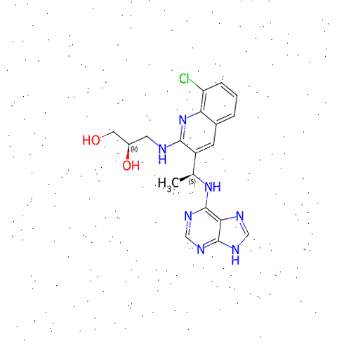 C[C@H](Nc1ncnc2[nH]cnc12)c1cc2cccc(Cl)c2nc1NC[C@@H](O)CO